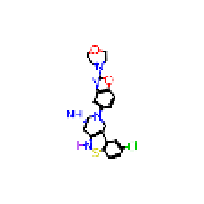 Clc1ccc2c(c1)C1=C(CCN(c3ccc4oc(N5CCOCC5)nc4c3)C1)N(I)S2.N